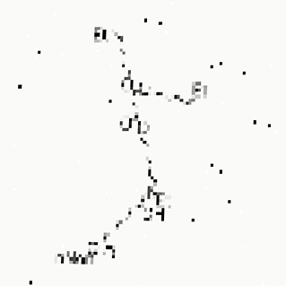 CC/C=C\CCCCOC(CCC(=O)OCCCCCCN(CC)CC(O)CCCCCC(=O)OCCCCCCCCC)OCCCC/C=C\CC